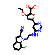 CCOc1cc(-c2cc(NCCn3c(C#N)cc4cccc(F)c43)ncn2)sc1C(=O)O